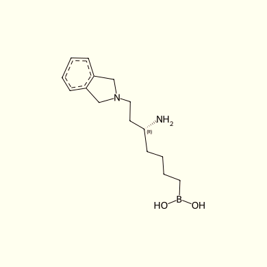 N[C@H](CCCCB(O)O)CCN1Cc2ccccc2C1